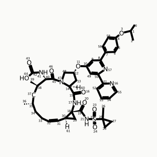 CC(C)Oc1ccc(-c2cc(O[C@@H]3C[C@H]4C(=O)N[C@]5(C(=O)NS(=O)(=O)C6(C)CC6)C[C@H]5C=CCC[C@H](C)C[C@@H](C)[C@H](NC(=O)O)C(=O)N4C3)cc(-c3ccccn3)n2)cc1